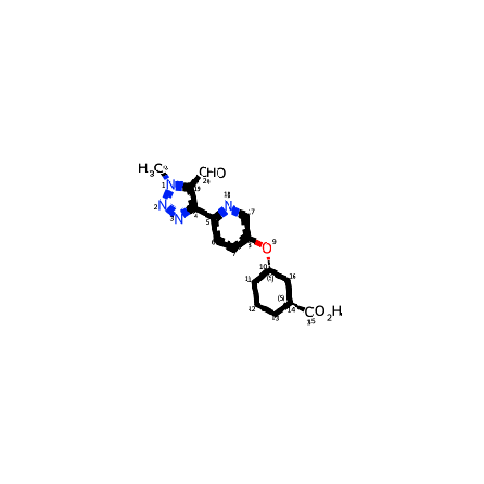 Cn1nnc(-c2ccc(O[C@H]3CCC[C@H](C(=O)O)C3)cn2)c1C=O